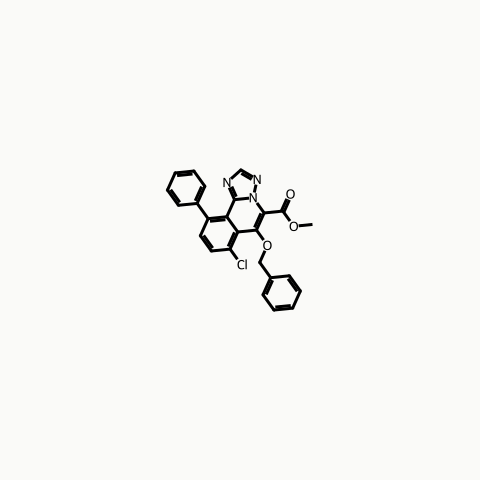 COC(=O)c1c(OCc2ccccc2)c2c(Cl)ccc(-c3ccccc3)c2c2ncnn12